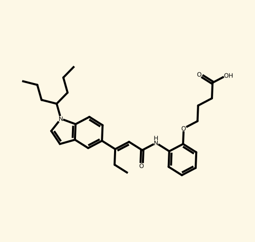 CCCC(CCC)n1ccc2cc(C(=CC(=O)Nc3ccccc3OCCCC(=O)O)CC)ccc21